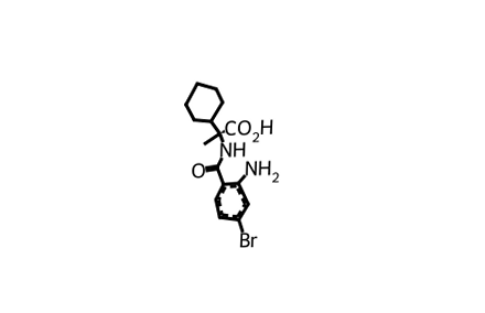 C[C@@](NC(=O)c1ccc(Br)cc1N)(C(=O)O)C1CCCCC1